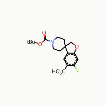 CC(C)(C)OC(=O)N1CCC2(CC1)COc1cc(F)c(C(=O)O)cc12